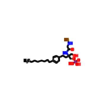 CCCCCCCCc1ccc(CCC(CO)(COP(=O)(O)O)NC(=O)CNS)cc1